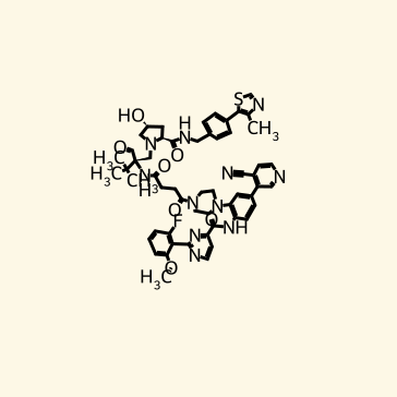 COc1cccc(F)c1-c1nccc(C(=O)Nc2ccc(-c3cnccc3C#N)cc2N2CCN(C(=O)CCC(=O)N[C@](C=O)(CN3C[C@H](O)C[C@H]3C(=O)NCc3ccc(-c4scnc4C)cc3)C(C)(C)C)CC2)n1